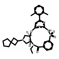 CCN1C(=O)c2cccc(c2)S(=O)(=O)Nc2nc(cc(-c3c(C)cccc3C)n2)O[C@@H]2CN(C3CC4(CCCC4)C3)C[C@H]21